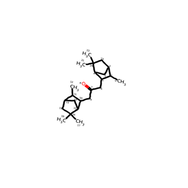 CC1C2CC(C1CC(=O)CC1C(C)C3CC1C(C)(C)C3)C(C)(C)C2